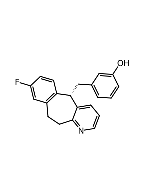 Oc1cccc(C[C@H]2c3ccc(F)cc3CCc3ncccc32)c1